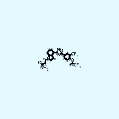 CC(Oc1ccc(-c2nc(-c3cccc4c3ccn4CCC(N)=O)no2)cc1C(F)(F)F)C(F)(F)F